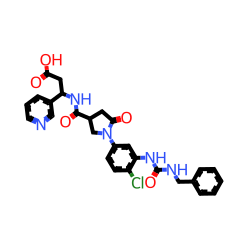 O=C(O)CC(NC(=O)C1CC(=O)N(c2ccc(Cl)c(NC(=O)NCc3ccccc3)c2)C1)c1cccnc1